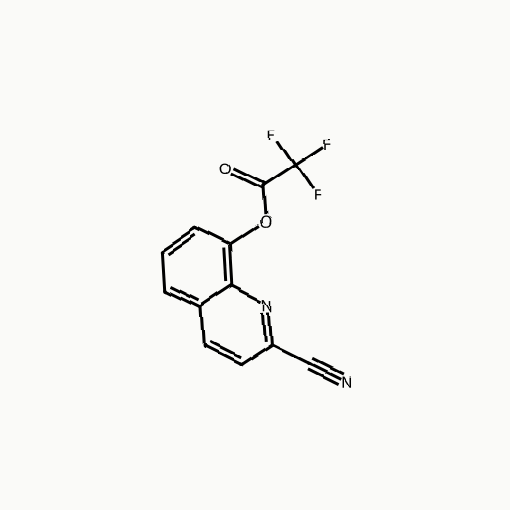 N#Cc1ccc2cccc(OC(=O)C(F)(F)F)c2n1